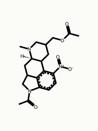 CC(=O)OCC1CC2c3c([N+](=O)[O-])ccc4c3C(C[C@H]2N(C)C1)CN4C(C)=O